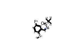 CSc1ccc(F)cc1/C=N\[S+]([O-])C(C)(C)C